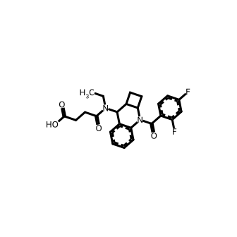 CCN(C(=O)CCC(=O)O)C1c2ccccc2N(C(=O)c2ccc(F)cc2F)C2CCC12